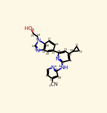 N#Cc1ccnc(Nc2cc(C3CC3)cc(-c3ccc4c(c3)ncn4CCO)n2)c1